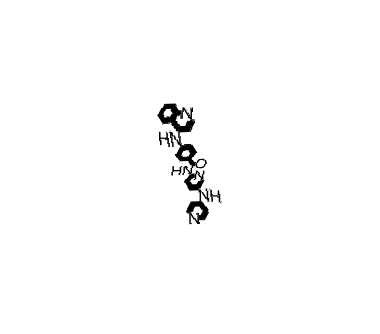 O=C(Nc1ccc(Nc2ccncc2)cn1)c1ccc(Nc2ccnc3ccccc23)cc1